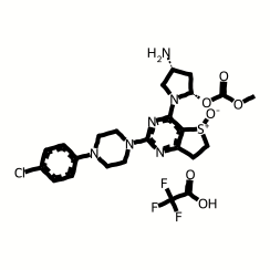 COC(=O)O[C@H]1C[C@@H](N)CN1c1nc(N2CCN(c3ccc(Cl)cc3)CC2)nc2c1[S+]([O-])CC2.O=C(O)C(F)(F)F